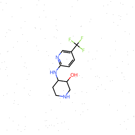 OC1CNCCC1Nc1ccc(C(F)(F)F)cn1